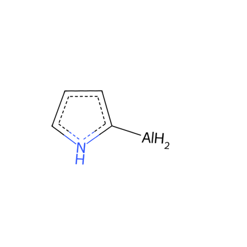 [AlH2][c]1ccc[nH]1